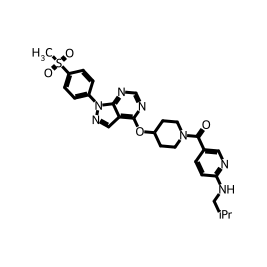 CC(C)CNc1ccc(C(=O)N2CCC(Oc3ncnc4c3cnn4-c3ccc(S(C)(=O)=O)cc3)CC2)cn1